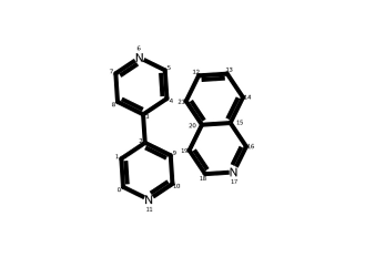 c1cc(-c2ccncc2)ccn1.c1ccc2cnccc2c1